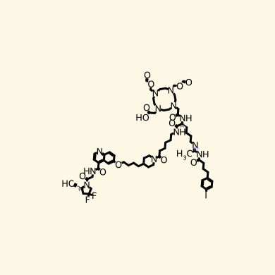 C#C[C@H]1CC(F)(F)CN1C(=O)CNC(=O)c1ccnc2ccc(OCCCCC3CCN(C(=O)CCCCCNC(=O)[C@H](CCCC/N=C(\C)NC(=O)CCCc4ccc(I)cc4)NC(=O)CN4CCN(COC=O)CCN(COC=O)CCN(CC(=O)O)CC4)CC3)cc12